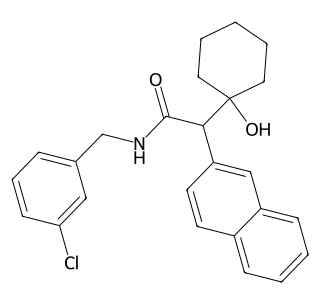 O=C(NCc1cccc(Cl)c1)C(c1ccc2ccccc2c1)C1(O)CCCCC1